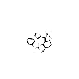 Cn1nc2c(c1-c1ccco1)-c1nc(Nc3ccccc3)ncc1CC2